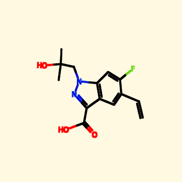 C=Cc1cc2c(C(=O)O)nn(CC(C)(C)O)c2cc1F